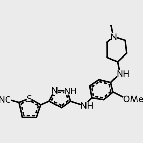 COc1cc(Nc2cc(-c3ccc(C#N)s3)n[nH]2)ccc1NC1CCN(C)CC1